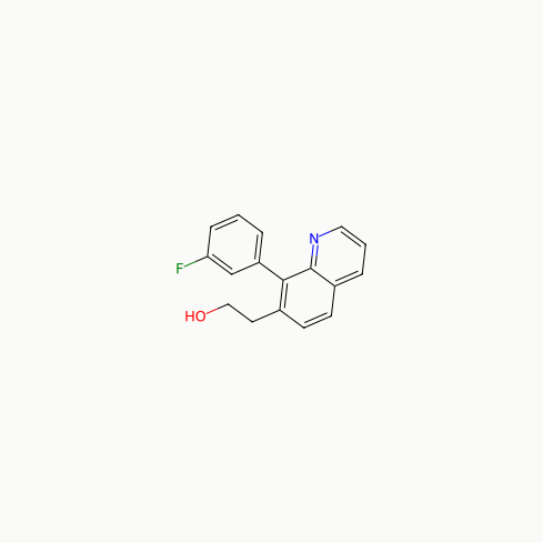 OCCc1ccc2cccnc2c1-c1cccc(F)c1